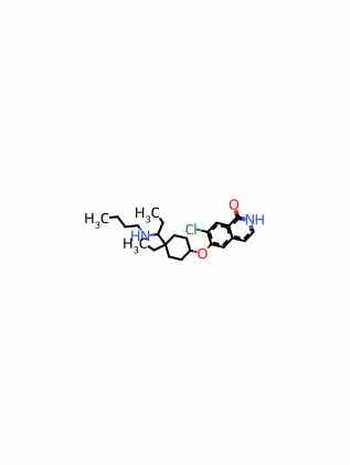 CCCCNC(CC)C1(CC)CCC(Oc2cc3cc[nH]c(=O)c3cc2Cl)CC1